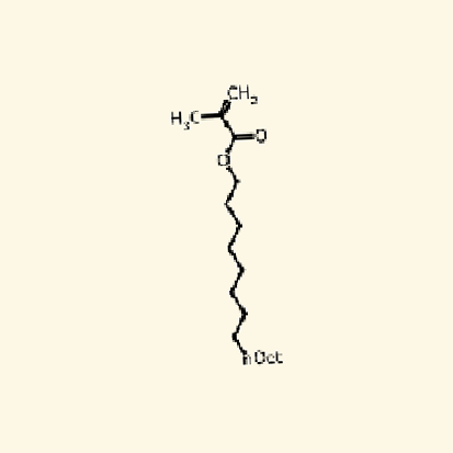 C=C(C)C(=O)OCCCCCCCCCCCCCCCC